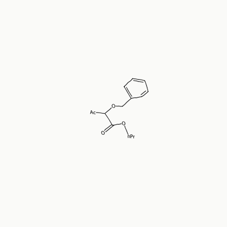 CCCOC(=O)C(OCc1ccccc1)C(C)=O